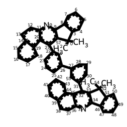 CC1(C)c2ccccc2-c2nc3ccc4ccccc4c3c(-c3cccc(-c4cccc(-c5c6c(nc7ccc8ccccc8c57)-c5ccccc5C6(C)C)c4)c3)c21